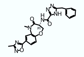 Cc1noc(-c2ccc3c(c2)N(C)C(=O)[C@H](NC(=O)c2nnc(Cc4ccccc4)[nH]2)CO3)n1